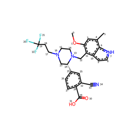 COc1cc(C)c2[nH]ccc2c1CN1CCN(CCC(F)(F)F)C[C@H]1c1ccc(C(=O)O)c(C#N)c1